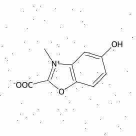 C[n+]1c(C(=O)[O-])oc2ccc(O)cc21